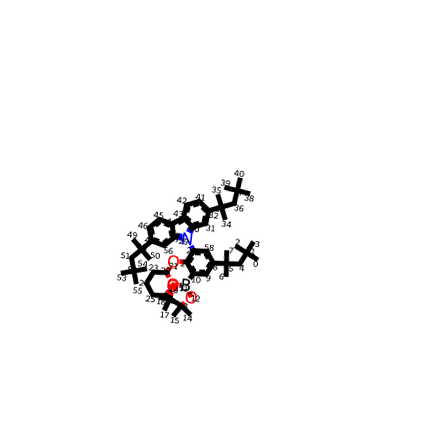 CC(C)(C)CC(C)(C)c1cc(B2OC(C)(C)C(C)(C)O2)c(OC2CCCCO2)c(-n2c3cc(C(C)(C)CC(C)(C)C)ccc3c3ccc(C(C)(C)CC(C)(C)C)cc32)c1